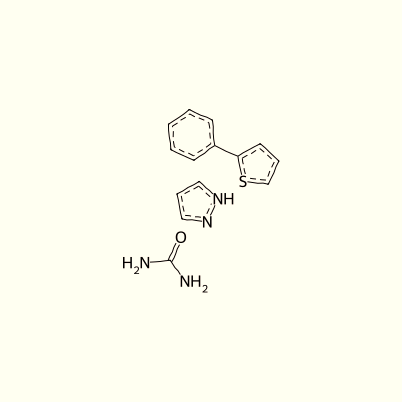 NC(N)=O.c1ccc(-c2cccs2)cc1.c1cn[nH]c1